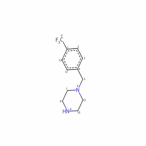 FC(F)(F)c1[c]cc(CN2CCNCC2)cc1